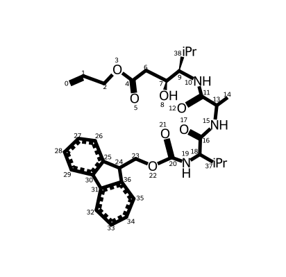 C=CCOC(=O)C[C@H](O)[C@H](NC(=O)C(C)NC(=O)C(NC(=O)OCC1c2ccccc2-c2ccccc21)C(C)C)C(C)C